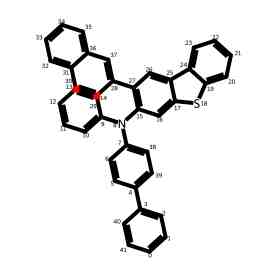 c1ccc(-c2ccc(N(c3ccccc3)c3cc4sc5ccccc5c4cc3-c3ccc4ccccc4c3)cc2)cc1